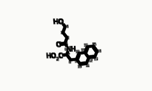 O=C(CCCO)NC(Cc1ccc2ccccc2c1)C(=O)O